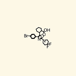 O=C(O)C1CCCCC1c1oc(N2CCC(F)(F)CC2)nc1-c1ccc(Br)cc1